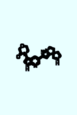 O=C1COCCN1c1c[nH]c2ncc(-c3cc4n(n3)CCC43CCNC3)cc12